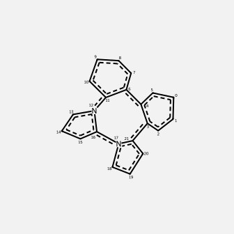 c1ccc2c(c1)c1ccccc1n1cccc1n1cccc21